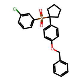 O=S(=O)(c1cccc(Cl)c1)C1(c2ccc(OCc3ccccc3)cc2)CCCC1